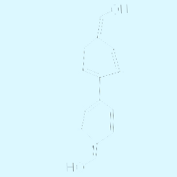 OC=C1C=CC(C2=CCC(=CO)C=C2)=CC1